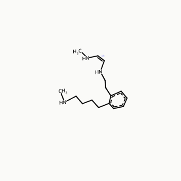 CN/C=C\NCCc1ccccc1CCCCNC